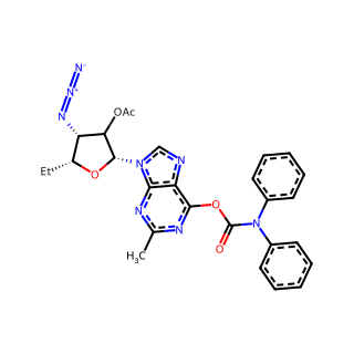 CC[C@H]1O[C@@H](n2cnc3c(OC(=O)N(c4ccccc4)c4ccccc4)nc(C)nc32)C(OC(C)=O)[C@H]1N=[N+]=[N-]